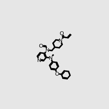 C=CC(=O)N1CCC(CN(C=O)c2ccncc2N(C)c2ccc(OC3=CCCC=C3)cc2)CC1